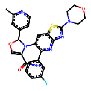 Cc1cc(C2OC=C(C(N)=O)N2c2cc3sc(N4CCOCC4)nc3nc2-c2cccc(F)c2)ccn1